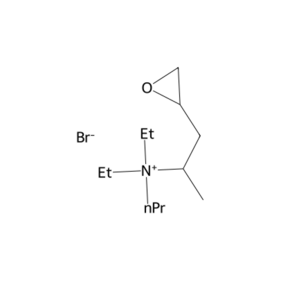 CCC[N+](CC)(CC)C(C)CC1CO1.[Br-]